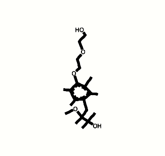 COC(C)(Cc1c(C)c(C)c(OCCOCCO)c(C)c1C)C(C)(C)O